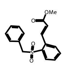 COC(=O)C=Cc1ccccc1S(=O)(=O)Cc1ccccc1